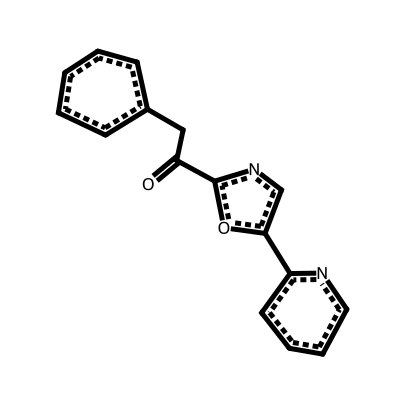 O=C(Cc1ccccc1)c1ncc(-c2ccccn2)o1